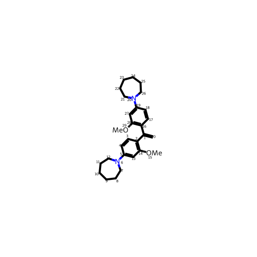 C=C(c1ccc(N2CCCCCC2)cc1OC)c1ccc(N2CCCCCC2)cc1OC